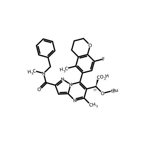 Cc1nc2cc(C(=O)N(C)Cc3ccccc3)nn2c(-c2cc(F)c3c(c2C)CCCO3)c1[C@H](OC(C)(C)C)C(=O)O